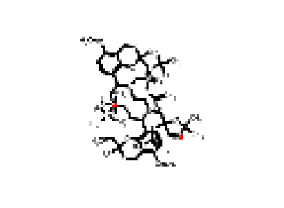 C=C(C)OC(C=O)(CN(CCN(CP(=O)(OC(=C)C)OC(C)(C)C)C(CO[Si](C)(C)C)c1ccc(OC)c2c1OC(C)(CC)OC2)C(CO[Si](C)(C)C)c1ccc(OC)c2c1OC(C)(CC)OC2)OC(C)(C)C